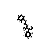 O=C(CCCc1ccccc1)C(=O)c1ccccc1